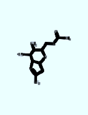 CC(=O)OCC1OC2CC(C)=NC2C(C)C1C